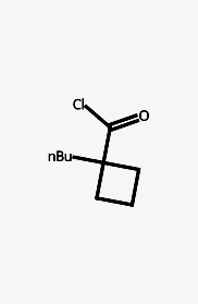 CCCCC1(C(=O)Cl)CCC1